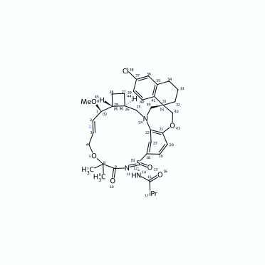 CO[C@@H]1/C=C/COC(C)(C)C(=O)N=[S@@](=O)(NC(=O)C(C)C)c2ccc3c(c2)N(C[C@@H]2CC[C@H]21)C[C@@]1(CCCc2cc(Cl)ccc21)CO3